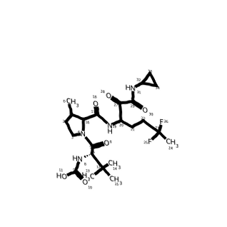 CC1CCN(C(=O)[C@@H](NC(=O)O)C(C)(C)C)C1C(=O)NC(CCC(C)(F)F)C(=O)C(=O)NC1CC1